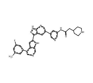 Cc1cc(F)cc(-c2cncc3[nH]c(-c4n[nH]c5ncc(-c6cncc(NC(=O)CC7CCNCC7)c6)cc45)cc23)c1